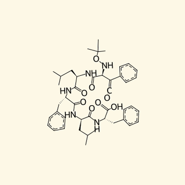 CC(C)C[C@@H](NC(=O)[C@@H](NOC(C)(C)C)C(=C=O)c1ccccc1)C(=O)N[C@@H](Cc1ccccc1)C(=O)N[C@H](CC(C)C)C(=O)N[C@@H](Cc1ccccc1)C(=O)O